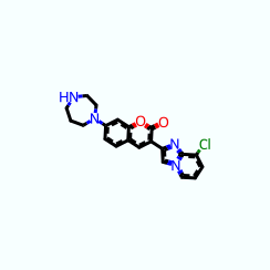 O=c1oc2cc(N3CCCNCC3)ccc2cc1-c1cn2cccc(Cl)c2n1